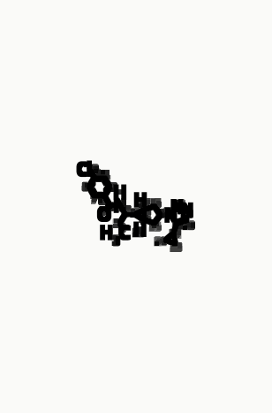 CCC(NC(=O)c1ccc(Cl)cc1)[C@H]1[C@@H]2C[C@H](n3nncc3C3CC3)C[C@@H]21